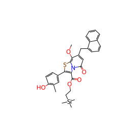 COc1c(Cc2cccc3ccccc23)cc(=O)n2c(C(=O)OCC[Si](C)(C)C)c(-c3ccc(O)c(C)c3)sc12